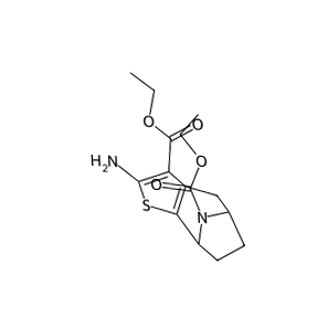 CCOC(=O)c1c(N)sc2c1CC1CCC2N1C(=O)OCC